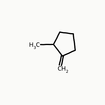 C=C1CCCC1C